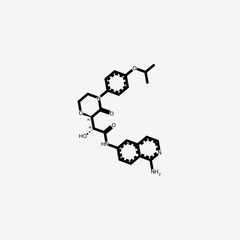 CC(C)Oc1ccc(N2CCO[C@H]([C@@H](O)C(=O)Nc3ccc4c(N)nccc4c3)C2=O)cc1